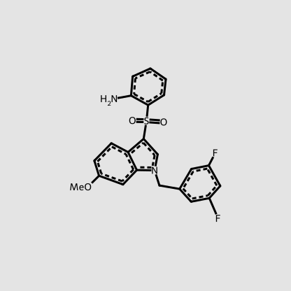 COc1ccc2c(S(=O)(=O)c3ccccc3N)cn(Cc3cc(F)cc(F)c3)c2c1